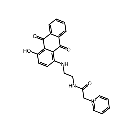 O=C(C[n+]1ccccc1)NCCNc1ccc(O)c2c1C(=O)c1ccccc1C2=O